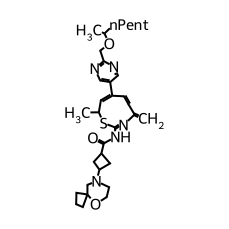 C=C1/C=C\C(c2cnc(COC(C)CCCCC)nc2)=C/C(C)S/C(NC(=O)C2CC(N3CCOC4(CCC4)C3)C2)=N\1